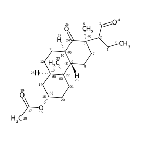 CCC(C=O)[C@@]1(C)CC[C@H]2[C@@H](CC[C@@H]3C[C@@H](OC(C)=O)CC[C@@]32C)C1=O